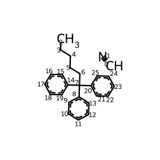 C#N.CCCCCC(c1ccccc1)(c1ccccc1)c1ccccc1